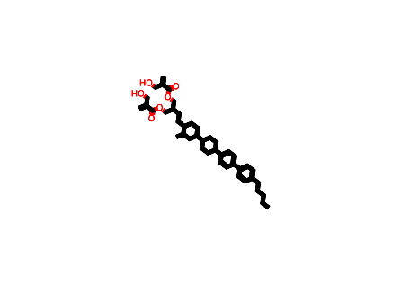 C=C(CO)C(=O)OCC(CCC1CCC(C2CCC(c3ccc(-c4ccc(CCCCC)cc4)cc3)CC2)CC1C)COC(=O)C(=C)CO